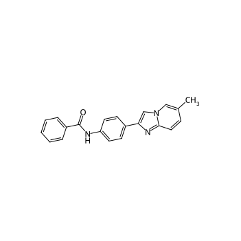 Cc1ccc2nc(-c3ccc(NC(=O)c4ccccc4)cc3)cn2c1